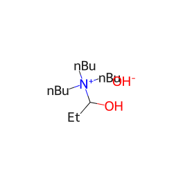 CCCC[N+](CCCC)(CCCC)C(O)CC.[OH-]